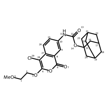 COCCOc1oc(=O)c2cc(NC(=O)OC34CC5CC(CC(C5)C3)C4)ccc2c1Cl